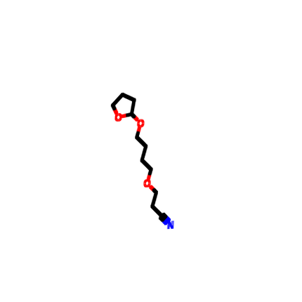 N#CCCOCCCCOC1CCCO1